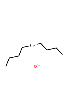 CCC[CH2][Sn+2][CH2]CCC.[O-2]